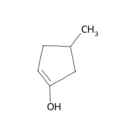 CC1CC=C(O)C1